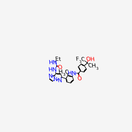 CCNC(=O)Nc1cc(-c2cccc(NC(=O)c3ccc(C(C)(O)C(F)(F)F)cc3)c2C)nn2ccnc12